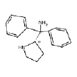 NC(c1ccccc1)(c1ccccc1)[C@@H]1CCCN1